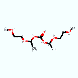 CCOCCOC(C)OC(=O)OC(C)OCCOCC